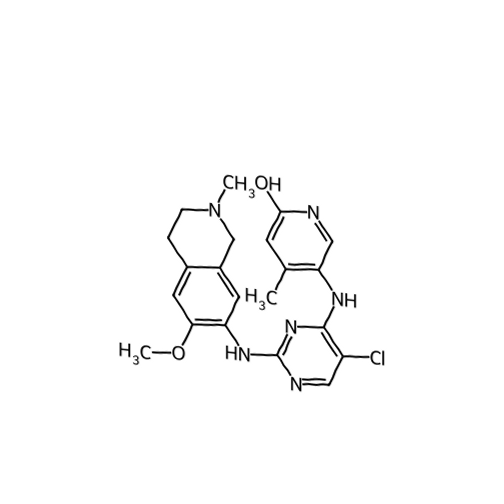 COc1cc2c(cc1Nc1ncc(Cl)c(Nc3cnc(O)cc3C)n1)CN(C)CC2